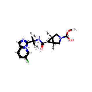 CC(C)(C)OC(O)N1C[C@@H]2[C@H](C1)[C@H]2C(=O)NC(C)(C)c1ncc2ccc(F)cn12